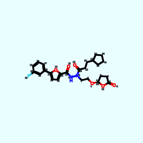 O=C1CC[C@H](OCCN(NC(=O)c2ccc(-c3cccc(F)c3)o2)C(=O)CCC2CCCC2)O1